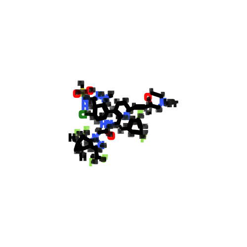 CC(C)N1CCO[C@](C)(C#Cc2ccc(-c3ccc(Cl)c4c(NS(C)(=O)=O)nn(C)c34)c([C@H](Cc3cc(F)cc(F)c3)NC(=O)Cn3nc(C(F)F)c4c3C(F)(F)[C@@H]3C[C@H]43)n2)C1